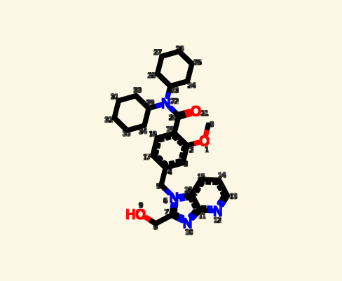 COc1cc(Cn2c(CO)nc3ncccc32)ccc1C(=O)N(C1CCCCC1)C1CCCCC1